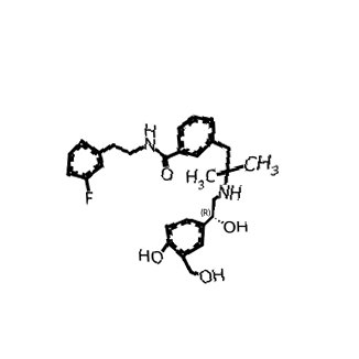 CC(C)(Cc1cccc(C(=O)NCCc2cccc(F)c2)c1)NC[C@H](O)c1ccc(O)c(CO)c1